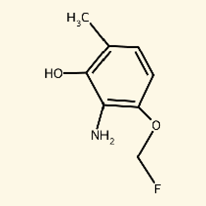 Cc1ccc(OCF)c(N)c1O